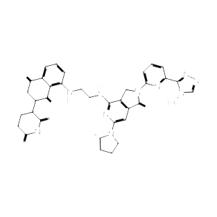 CCn1cnnc1-c1cccc(N2Cc3c(cc(N4CCC[C@H]4C)nc3NCCNc3cccc4c3C(=O)C(C3CCC(=O)NC3=O)CC4=O)C2=O)n1